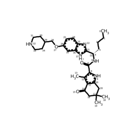 CCCC[C@H](NC(=O)c1[nH]c2c(c1C)C(=O)CC(C)(C)C2)c1nc2ccc(OCC3CCNCC3)cc2[nH]1